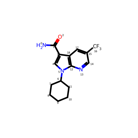 NC(=O)c1cn(C2CCCCC2)c2ncc(C(F)(F)F)cc12